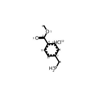 COC(=O)c1ccc(CP)cc1.Cl